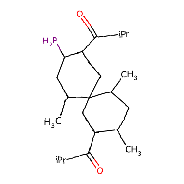 CC(C)C(=O)C1CC2(CC(C(=O)C(C)C)C(P)CC2C)C(C)CC1C